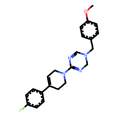 COc1ccc(CN2C=NC(N3CC=C(c4ccc(F)cc4)CC3)=NC2)cc1